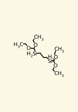 CCOC(OCC)[SiH2]CCC[SiH2]C(OCC)OCC